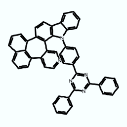 c1ccc(-c2nc(-c3ccccc3)nc(-c3ccc(-n4c5ccccc5c5ccc6c(c54)-c4cnccc4-c4cccc5cccc-6c45)cc3)n2)cc1